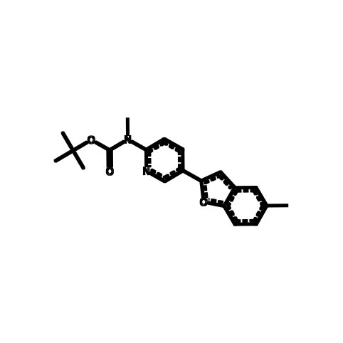 Cc1ccc2oc(-c3ccc(N(C)C(=O)OC(C)(C)C)nc3)cc2c1